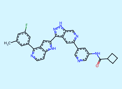 Cc1cc(F)cc(-c2nccc3[nH]c(-c4n[nH]c5cnc(-c6cncc(NC(=O)C7CCC7)c6)cc45)cc23)c1